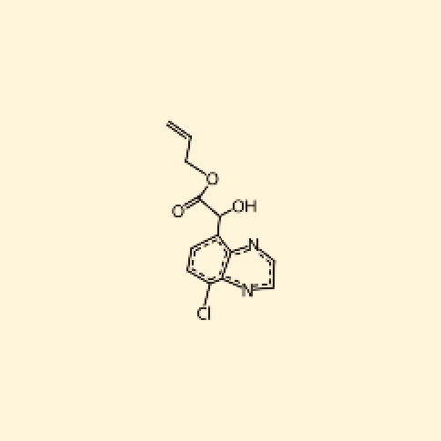 C=CCOC(=O)C(O)c1ccc(Cl)c2nccnc12